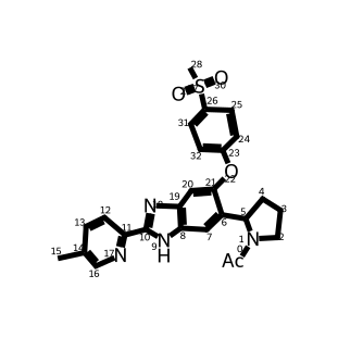 CC(=O)N1CCCC1c1cc2[nH]c(-c3ccc(C)cn3)nc2cc1Oc1ccc(S(C)(=O)=O)cc1